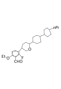 CCCC1CCC(C2CCC(C3CCC(c4ccc(OCC)c(C=O)c4F)CO3)CC2)CC1